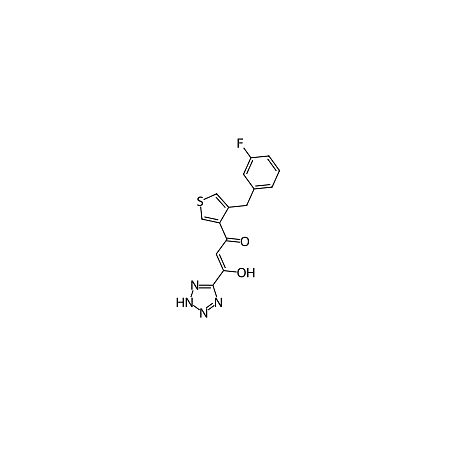 O=C(C=C(O)c1nn[nH]n1)c1cscc1Cc1cccc(F)c1